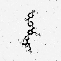 CCc1cc(N2C=C(c3cn(CC(F)F)nc3C(F)(F)F)N(C)C2)ccc1C(=O)N1CCN(C(=O)C2CCN(C)CC2)CC1